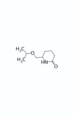 CC(C)OCC1CCCC(=O)N1